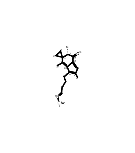 CC(=O)O/N=C/CCCC1=C(C)C=C2C(=O)[C@@H](C)C3(CC3)C(C)=C21